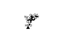 O=C(NC1CC1)OCC1=C(C(=O)[O-])N2C(=O)[C@@H]3[C@H]2C1CCN3C(=O)C(F)(F)F.[Na+]